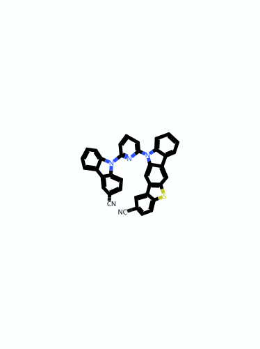 N#Cc1ccc2sc3cc4c5ccccc5n(-c5cccc(-n6c7ccccc7c7cc(C#N)ccc76)n5)c4cc3c2c1